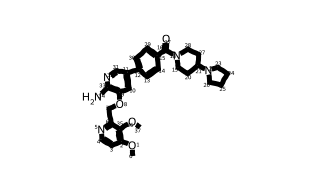 COc1ccnc(COc2cc(-c3ccc(C(=O)N4CCC(N5CCCC5)CC4)cc3)cnc2N)c1OC